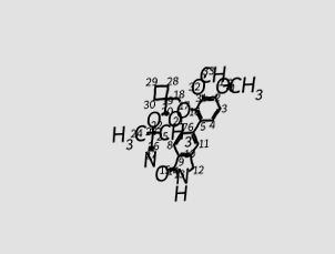 COc1ccc(-c2ccc3c(c2)CNC3=O)c(OCC2(C(=O)OC(C)(C)C#N)CCC2)c1OC